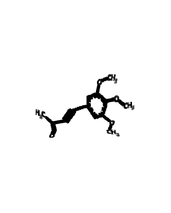 COc1cc(C#CC(C)=O)cc(OC)c1OC